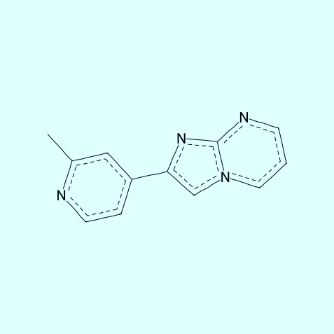 Cc1cc(-c2cn3cccnc3n2)ccn1